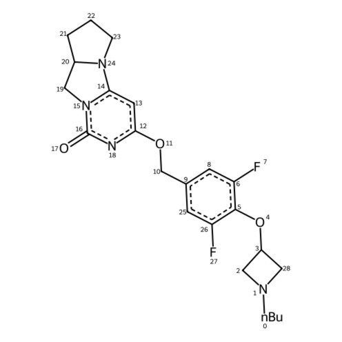 CCCCN1CC(Oc2c(F)cc(COc3cc4n(c(=O)n3)CC3CCCN43)cc2F)C1